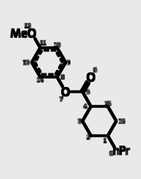 CCCC1CCC(C(=O)Oc2ccc(OC)cc2)CC1